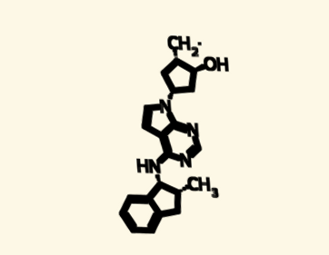 [CH2][C@H]1C[C@@H](n2ccc3c(N[C@H]4c5ccccc5C[C@H]4C)ncnc32)C[C@@H]1O